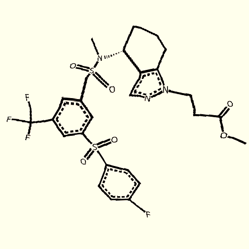 COC(=O)CCn1ncc2c1CCC[C@H]2N(C)S(=O)(=O)c1cc(C(F)(F)F)cc(S(=O)(=O)c2ccc(F)cc2)c1